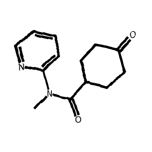 CN(C(=O)C1CCC(=O)CC1)c1ccccn1